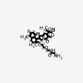 CC[C@@]1(O)C(=O)OCc2c1cc1n(c2=O)Cc2c-1nc1cc(F)c(C)c3c1c2[C@](C)(COCCOCNC(=O)CN)CC3